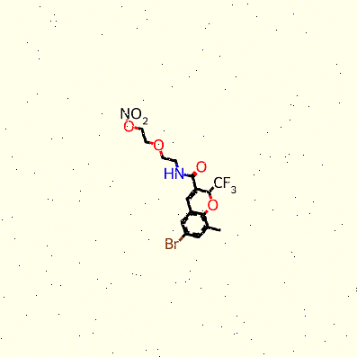 Cc1cc(Br)cc2c1OC(C(F)(F)F)C(C(=O)NCCOCCO[N+](=O)[O-])=C2